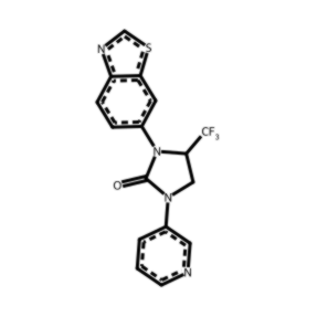 O=C1N(c2cccnc2)CC(C(F)(F)F)N1c1ccc2ncsc2c1